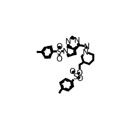 Cc1ccc(S(=O)(=O)OCC2CCCN(N(C)c3ncnc4c3ccn4S(=O)(=O)c3ccc(C)cc3)C2)cc1